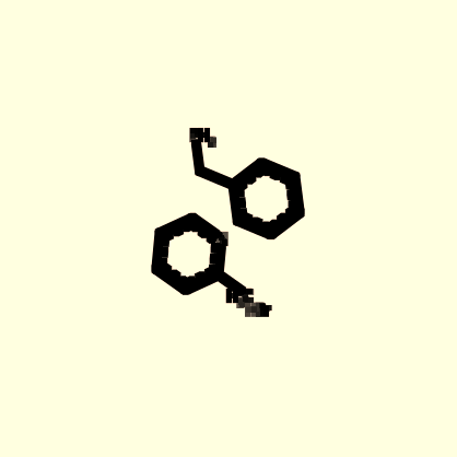 Br.Cc1ccccn1.PCc1ccccc1